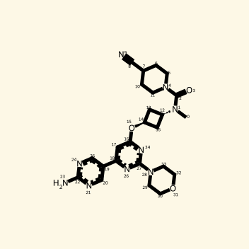 CN(C(=O)N1CCC(C#N)CC1)[C@H]1C[C@H](Oc2cc(-c3cnc(N)nc3)nc(N3CCOCC3)n2)C1